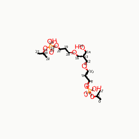 CC(C)OP(=O)(O)OCCCOCC(CO)COCCCOP(=O)(O)OC(C)C